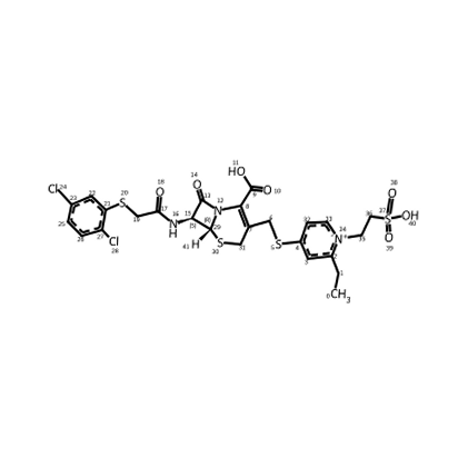 CCc1cc(SCC2=C(C(=O)O)N3C(=O)[C@H](NC(=O)CSc4cc(Cl)ccc4Cl)[C@H]3SC2)cc[n+]1CCS(=O)(=O)O